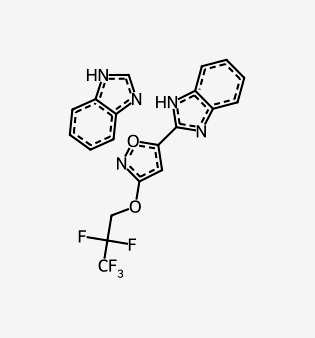 FC(F)(F)C(F)(F)COc1cc(-c2nc3ccccc3[nH]2)on1.c1ccc2[nH]cnc2c1